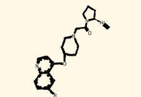 C#[N+][C@@H]1CCCN1C(=O)CN1CCC(Oc2ccnc3ccc(F)cc23)CC1